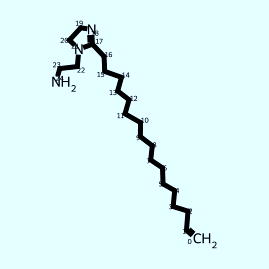 C=CCCCCCCCCCCCCCCCC1=NCCN1CCN